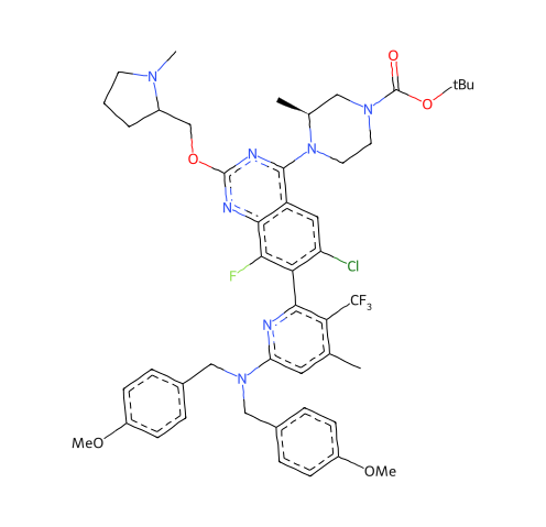 COc1ccc(CN(Cc2ccc(OC)cc2)c2cc(C)c(C(F)(F)F)c(-c3c(Cl)cc4c(N5CCN(C(=O)OC(C)(C)C)C[C@@H]5C)nc(OCC5CCCN5C)nc4c3F)n2)cc1